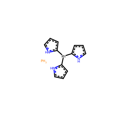 P.c1c[nH][c]([Rh]([c]2ccc[nH]2)[c]2ccc[nH]2)c1